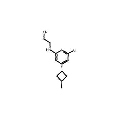 C[C@H]1C[C@H](c2cc(Cl)nc(NCCC#N)c2)C1